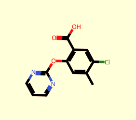 Cc1cc(Oc2ncccn2)c(C(=O)O)cc1Cl